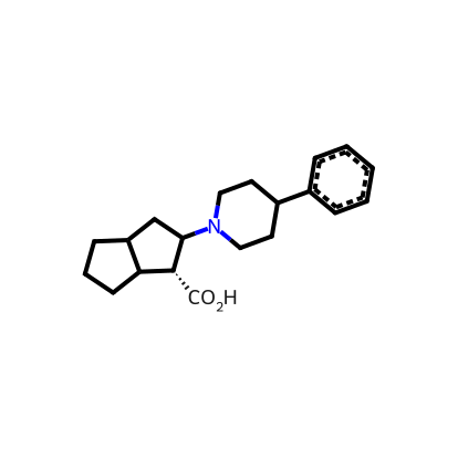 O=C(O)[C@@H]1C2CCCC2CC1N1CCC(c2ccccc2)CC1